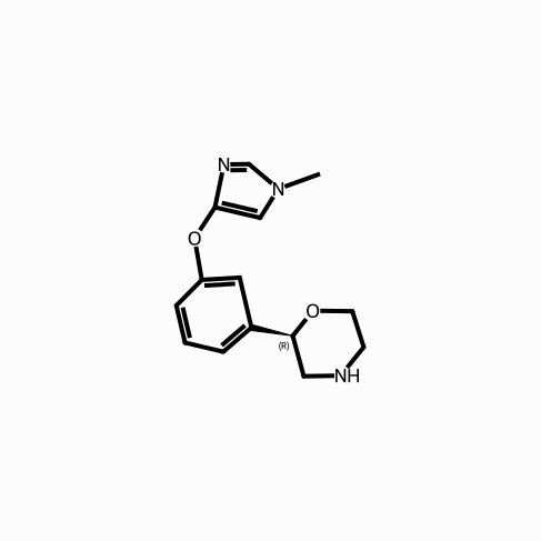 Cn1cnc(Oc2cccc([C@@H]3CNCCO3)c2)c1